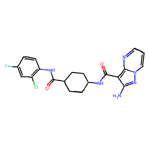 Nc1nn2cccnc2c1C(=O)NC1CCC(C(=O)Nc2ccc(F)cc2Cl)CC1